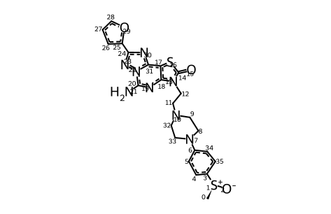 C[S@+]([O-])c1ccc(N2CCN(CCn3c(=O)sc4c3nc(N)n3nc(-c5ccco5)nc43)CC2)cc1